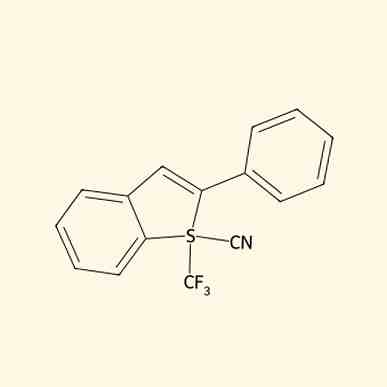 N#CS1(C(F)(F)F)C(c2ccccc2)=Cc2ccccc21